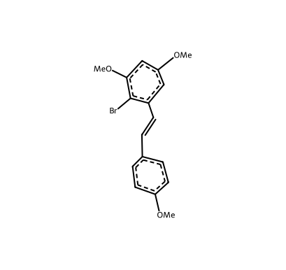 COc1ccc(C=Cc2cc(OC)cc(OC)c2Br)cc1